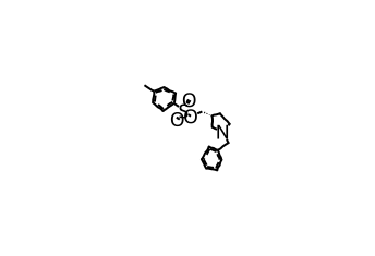 Cc1ccc(S(=O)(=O)OC[C@@H]2CCN(Cc3ccccc3)C2)cc1